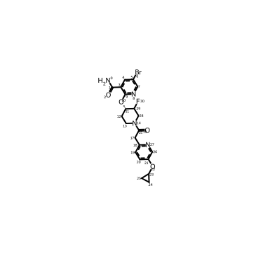 NC(=O)c1cc(Br)cnc1O[C@H]1CCN(C(=O)Cc2ccc(OC3CC3)cn2)CC1F